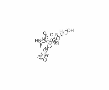 CC(C)c1ccccc1[C@H]1CCC[C@H]1N1CC2(CCN(c3ccc(C(=O)NS(=O)(=O)c4ccc(NC[C@H]5CC[C@](C)(O)CC5)c([N+](=O)[O-])c4)c(Oc4cc5c(F)c[nH]c5nc4OC4COC4)c3)CC2)C1